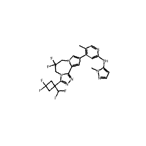 Cc1cnc(Nc2ccnn2C)cc1-c1cc2n(c1)CC(F)(F)Cn1c-2nnc1C1(C(F)F)CC(F)(F)C1